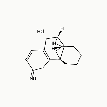 Cl.N=C1C=CC2=C(C1)[C@@]13CCCC[C@H]1[C@@H](C2)NCC3